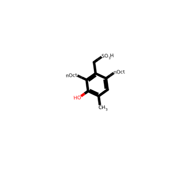 CCCCCCCCc1cc(C)c(O)c(CCCCCCCC)c1CS(=O)(=O)O